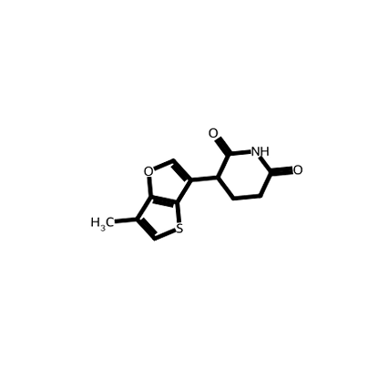 Cc1csc2c(C3CCC(=O)NC3=O)coc12